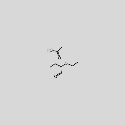 CC(=O)O.CCSC(C=O)CC